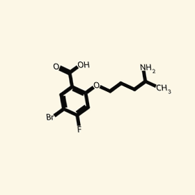 CC(N)CCCOc1cc(F)c(Br)cc1C(=O)O